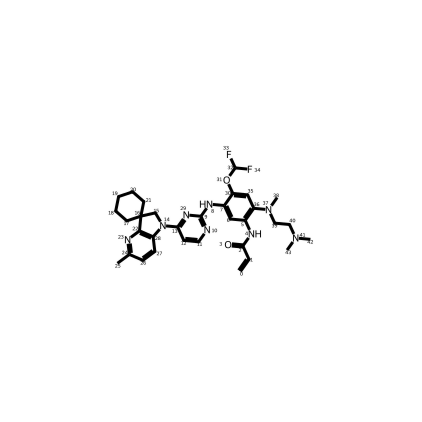 C=CC(=O)Nc1cc(Nc2nccc(N3CC4(CCCCC4)c4nc(C)ccc43)n2)c(OC(F)F)cc1N(C)CCN(C)C